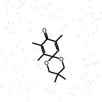 CC1=CC2(OCC(C)(C)CO2)C(C)=C(C)C1=O